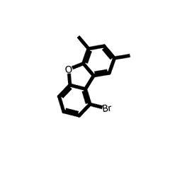 Cc1cc(C)c2oc3cccc(Br)c3c2c1